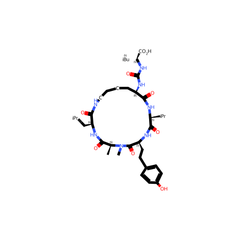 CC[C@H](C)[C@H](NC(=O)N[C@@H]1CCCCNC(=O)[C@H](CC(C)C)NC(=O)[C@H](C)N(C)C(=O)[C@H](CCc2ccc(O)cc2)NC(=O)[C@H](C(C)C)NC1=O)C(=O)O